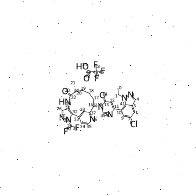 CCn1ncc2cc(Cl)cc(-c3cc(=O)n([C@H]4CCC[C@@H](C)C(=O)Nc5cnn(C(F)F)c5-c5ccnc4c5)cn3)c21.O=C(O)C(F)(F)F